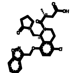 C[C@H](CC(=O)O)C(=O)N1CCc2c(Cl)ccc(OCc3noc4ccccc34)c2[C@H]1CN1CCCC1=O